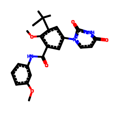 COc1cccc(NC(=O)c2cc(-n3ccc(=O)[nH]c3=O)cc(C(C)(C)C)c2OC)c1